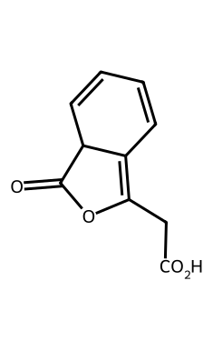 O=C(O)CC1=C2C=CC=CC2C(=O)O1